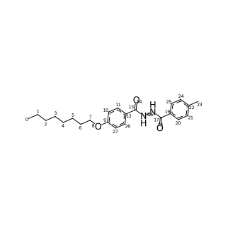 CCCCCCCCOc1ccc(C(=O)NNC(=O)c2ccc(C)cc2)cc1